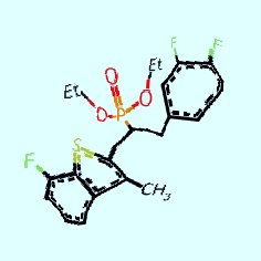 CCOP(=O)(OCC)C(Cc1ccc(F)c(F)c1)c1sc2c(F)cccc2c1C